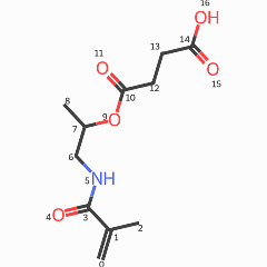 C=C(C)C(=O)NCC(C)OC(=O)CCC(=O)O